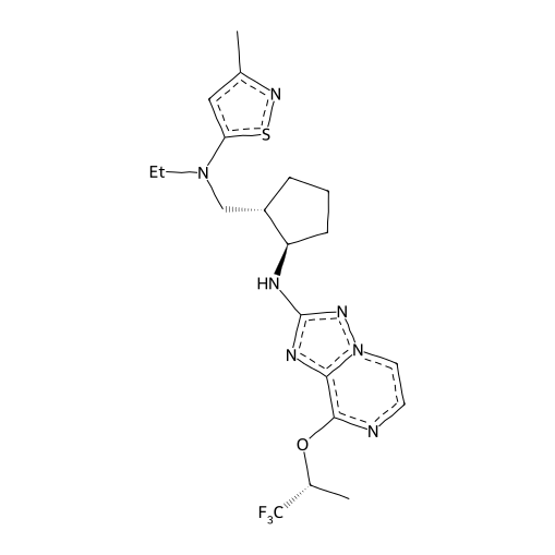 CCN(C[C@@H]1CCC[C@H]1Nc1nc2c(O[C@H](C)C(F)(F)F)nccn2n1)c1cc(C)ns1